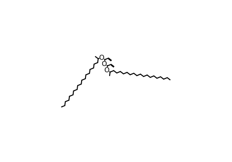 C=CC(OC(C)CCCCCCCCCCCCCCCCCC)OC(C=C)OC(C)CCCCCCCCCCCCCCCCCC